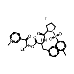 CCN(OC(=O)C(Cc1ccccc1)NC(=O)C1CCCN1S(=O)(=O)c1ccc(C)cc1)C(=O)c1ccc[n+](C)c1.[I-]